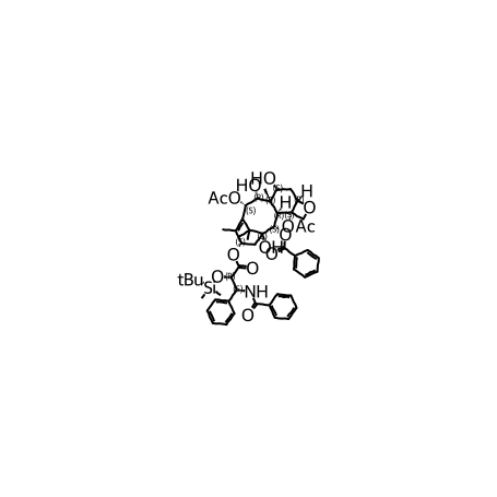 CC(=O)O[C@H]1C2=C(C)[C@@H](OC(=O)[C@H](O[Si](C)(C)C(C)(C)C)[C@@H](NC(=O)c3ccccc3)c3ccccc3)C[C@@](O)([C@@H](OC(=O)c3ccccc3)[C@@H]3[C@]4(OC(C)=O)CO[C@@H]4C[C@H](O)[C@@]3(C)[C@H]1O)C2(C)C